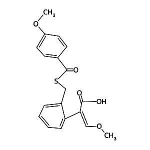 COC=C(C(=O)O)c1ccccc1CSC(=O)c1ccc(OC)cc1